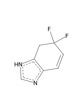 FC1(F)C=Cc2nc[nH]c2C1